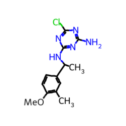 COc1ccc(C(C)Nc2nc(N)nc(Cl)n2)cc1C